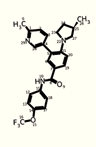 Cc1ccc(-c2cc(C(=O)Nc3ccc(OC(F)(F)F)cc3)ccc2N2CC[C@@H](C)C2)cn1